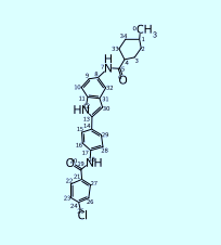 CC1CCC(C(=O)Nc2ccc3[nH]c(-c4ccc(NC(=O)c5ccc(Cl)cc5)cc4)cc3c2)CC1